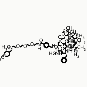 CC[C@H](C)[C@@H]([C@@H](CC(=O)N1C[C@H](O/N=C/c2ccc(C(=O)NCCOCCOCCOCCN(C)CC3CCN(C)CC3)cc2)C[C@H]1[C@H](OC)[C@@H](C)C(=O)N[C@H](/C=C/C(=O)NO)Cc1ccccc1)OC)N(C)C(=O)[C@@H](NC(=O)[C@H](C(C)C)N(C)C)C(C)C